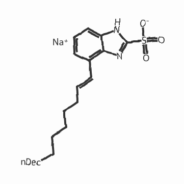 CCCCCCCCCCCCCCCC=Cc1cccc2[nH]c(S(=O)(=O)[O-])nc12.[Na+]